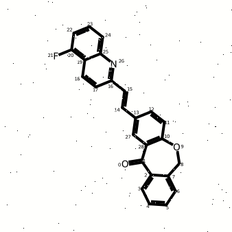 O=C1c2ccccc2COc2ccc(C=Cc3ccc4c(F)cccc4n3)cc21